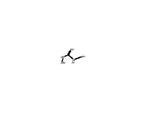 CCCCNC(=N)NC(C)C